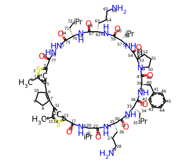 Cc1sc2cc1C1=C(CCC1)c1cc(sc1C)C(=O)N[C@@H](C(C)C)C(=O)N[C@@H](CCCN)C(=O)N[C@@H](CC(C)C)C(=O)N[C@H](Cc1ccccc1)C(=O)N1CCC[C@H]1C(=O)N[C@@H](C(C)C)C(=O)N[C@@H](CCCN)C(=O)N[C@@H](CC(C)C)C(=O)NNC2=O